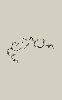 CC(C)c1ccc(C(C)C)c(-c2ccc(Oc3ccc(N)cc3)cc2)c1